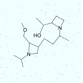 COCC1C(CCC(C)N2CCC2C(C)O)CN1C(C)C